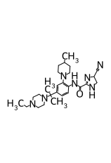 CCN1CCN(C(C)(C)c2ccc(NC(=O)C3=NC(C#N)CN3)c(N3CCC(C)CC3)c2)CC1